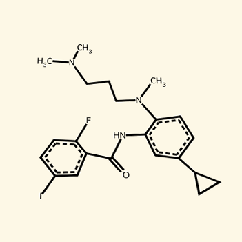 CN(C)CCCN(C)c1ccc(C2CC2)cc1NC(=O)c1cc(I)ccc1F